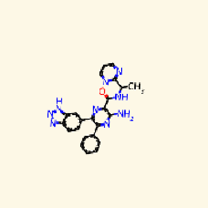 CC(NC(=O)c1nc(-c2ccc3nn[nH]c3c2)c(-c2ccccc2)nc1N)c1ncccn1